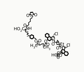 CCC1(C(=O)N2C[C@@H](CCl)c3c2cc(OP(=O)(O)O)c2ccccc32)CC2(C(=O)N3C[C@@H](CCl)c4c3cc(OC(=O)N(C)CCN(C)C(=O)OCc3ccc(SSC[C@H](NC(=O)CCCCCN5C(=O)C=CC5=O)C(=O)O)cc3)c3ccccc43)CC21